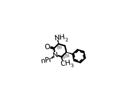 CCCN1C(=O)[C@@H](N)C[C@@H](c2ccccc2)[C@H]1C